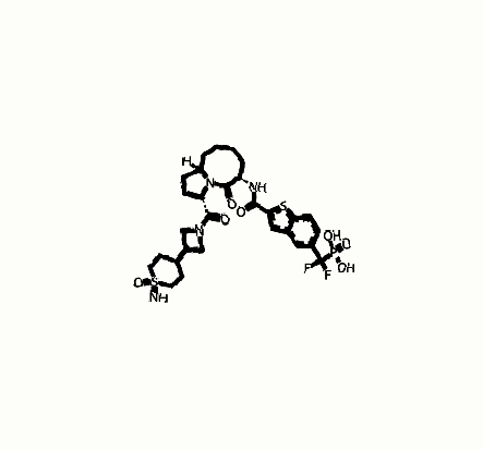 N=S1(=O)CCC(C2CN(C(=O)[C@@H]3CC[C@@H]4CCCC[C@H](NC(=O)c5cc6cc(C(F)(F)P(=O)(O)O)ccc6s5)C(=O)N43)C2)CC1